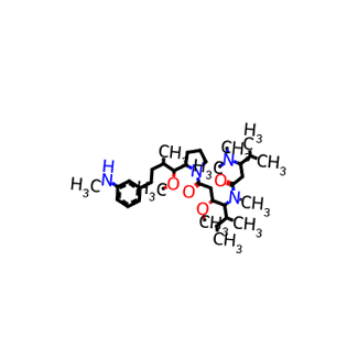 CCC(C)C(C(CC(=O)N1CCCC1C(OC)C(C)CCc1cccc(NC)c1)OC)N(C)C(=O)CC(C(C)C)N(C)C